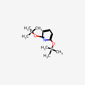 C[Si](C)(C)Oc1cccc(O[Si](C)(C)C)n1